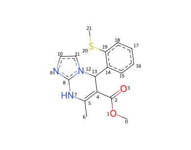 COC(=O)C1=C(C)Nc2nccn2C1c1ccccc1SC